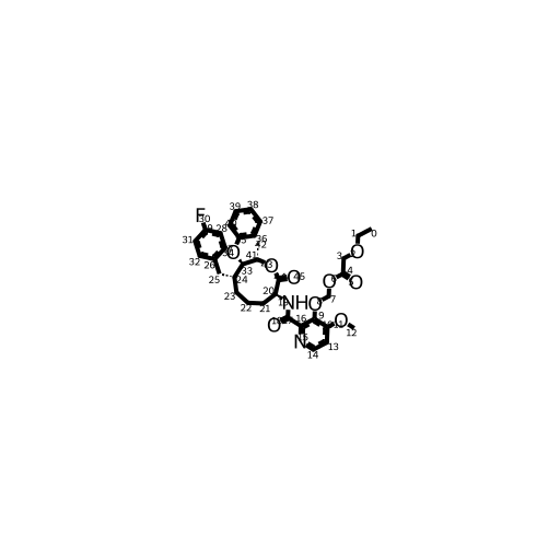 CCOCC(=O)OCOc1c(OC)ccnc1C(=O)N[C@H]1CCC[C@H](Cc2ccc(F)cc2)[C@@H](Oc2ccccc2)[C@H](C)OC1=O